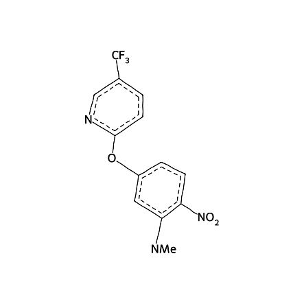 [CH2]Nc1cc(Oc2ccc(C(F)(F)F)cn2)ccc1[N+](=O)[O-]